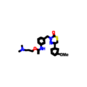 C=C(Nc1cccc(CN2N=C(c3cccc(OC)c3)CSC2=O)c1)OCCCN(C)C